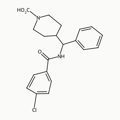 O=C(NC(c1ccccc1)C1CCN(C(=O)O)CC1)c1ccc(Cl)cc1